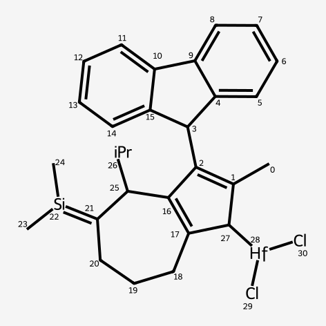 CC1=C(C2c3ccccc3-c3ccccc32)C2=C(CCCC(=[Si](C)C)C2C(C)C)[CH]1[Hf]([Cl])[Cl]